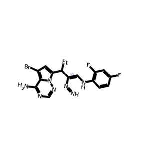 CCC(/C(=C/Nc1ccc(F)cc1F)N=N)c1cc(Br)c2c(N)ncnn12